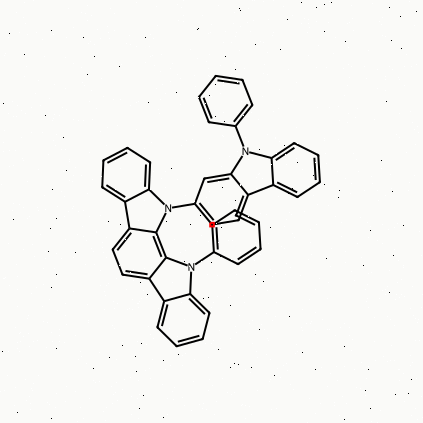 c1ccc(-n2c3ccccc3c3ccc(-n4c5ccccc5c5ccc6c7ccccc7n(-c7ccccc7)c6c54)cc32)cc1